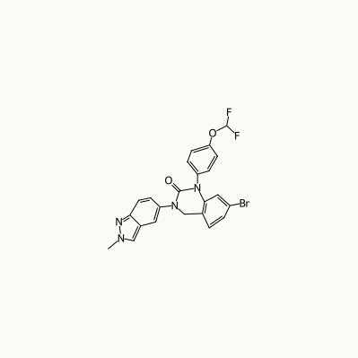 Cn1cc2cc(N3Cc4ccc(Br)cc4N(c4ccc(OC(F)F)cc4)C3=O)ccc2n1